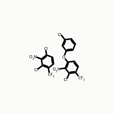 O=[N+]([O-])c1c(Cl)ccc(C(F)(F)F)c1Cl.O=[N+]([O-])c1c(Oc2cccc(Cl)c2)ccc(C(F)(F)F)c1Cl